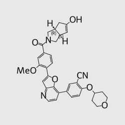 COc1cc(C(=O)N2C[C@@H]3CC(O)=C[C@H]3C2)ccc1-c1cc2nccc(-c3ccc(OC4CCOCC4)c(C#N)c3)c2o1